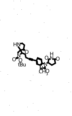 Cn1c(=O)n(C2CCC(=O)NC2=O)c2ccc(C#CCCC3N(C(=O)OC(C)(C)C)CC34CNCCC4=O)cc21